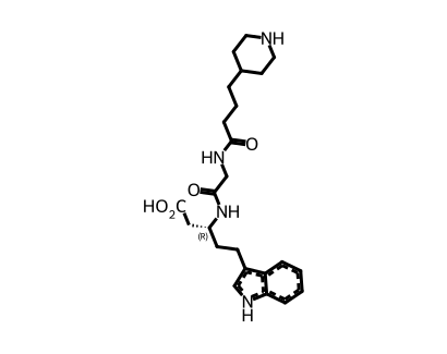 O=C(O)C[C@@H](CCc1c[nH]c2ccccc12)NC(=O)CNC(=O)CCCC1CCNCC1